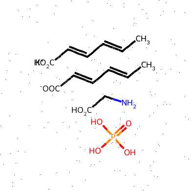 C/C=C/C=C/C(=O)O.C/C=C/C=C/C(=O)[O-].NCC(=O)O.O=P(O)(O)O.[K+]